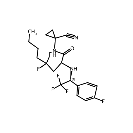 CCCCC(F)(F)CC(N[C@@H](c1ccc(F)cc1)C(F)(F)F)C(=O)NC1(C#N)CC1